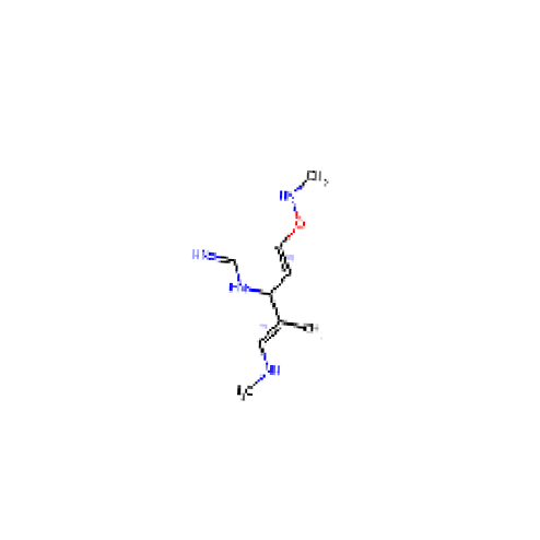 CN/C=C(\C)C(/C=C/ONC)NC=N